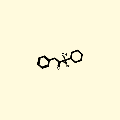 O=C(Cc1ccccc1)[C@@](O)(Br)C1CCCCC1